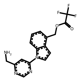 NCc1cc(-n2ccc3c(COC(=O)C(F)(F)F)cccc32)ncn1